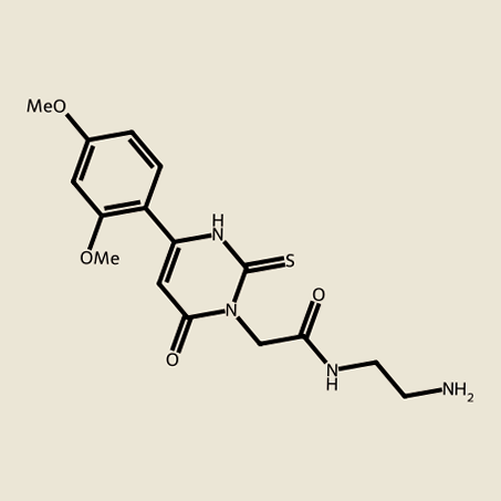 COc1ccc(-c2cc(=O)n(CC(=O)NCCN)c(=S)[nH]2)c(OC)c1